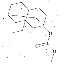 COC(=O)OC12CCC3CCC(C1)CC3(CI)C2